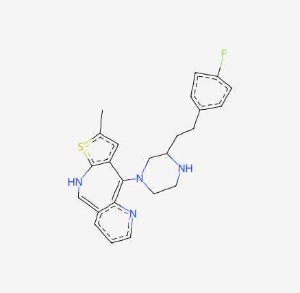 Cc1cc2c(s1)NC=c1cccnc1=C2N1CCNC(CCc2ccc(F)cc2)C1